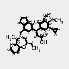 CC[C@@H]1CN(Cc2cc(C(CC(=O)O)c3cc(C4CC4)c4c(nnn4C)c3C)cc3c2CCC3)[C@@H](C)c2ncccc2O1